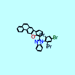 CC(C)c1cc(Br)cc(C(C)C)c1-n1c(-c2cccc3c2oc2cc4c(ccc5ccccc54)cc23)nc2ccccc21